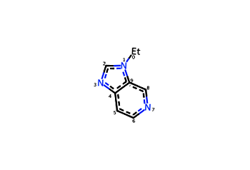 CCn1cnc2ccncc21